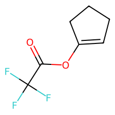 O=C(OC1=CCCC1)C(F)(F)F